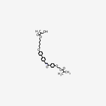 C=C(C)C(=O)OCCOc1ccc(C(=O)/C=C/c2ccc(-c3ccc(OCCCCCCOC(=O)C(=C)CO)cc3)cc2)cc1